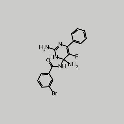 NC1=NC(c2ccccc2)=C(F)C(N)(NC(=O)c2cccc(Br)c2)N1